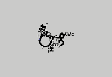 CC[C@@H]1C[C@@H](C)CC/C=C\[C@@H]2C[C@@]2(C(=O)NS(=O)(=O)C2(CF)CC2)NC(=O)[C@@H]2C[C@@H](Oc3nc4c(c5cc(OC)ccc35)CCCO4)CN2C(=O)[C@H]1N(C(=O)O)C(C)(C)C(F)F